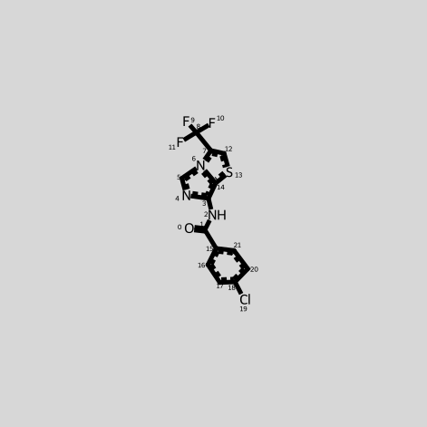 O=C(Nc1ncn2c(C(F)(F)F)csc12)c1ccc(Cl)cc1